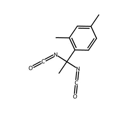 Cc1ccc(C(C)(N=C=O)N=C=O)c(C)c1